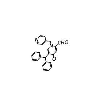 O=Cc1cc(=O)c(C(c2ccccc2)c2ccccc2)cn1Cc1ccncc1